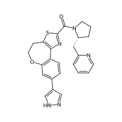 O=C(c1nc2c(s1)CCOc1cc(-c3cn[nH]c3)ccc1-2)N1CCC[C@@H]1Cc1ccccn1